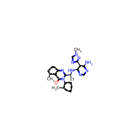 CC[C@H](Nc1ncnc(N)c1-c1ncn(C)n1)c1nc2cccc(C)c2c(=O)n1-c1ccccc1C